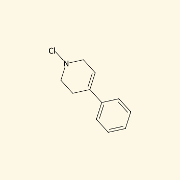 ClN1CC=C(c2ccccc2)CC1